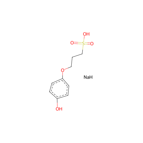 O=S(=O)(O)CCCOc1ccc(O)cc1.[NaH]